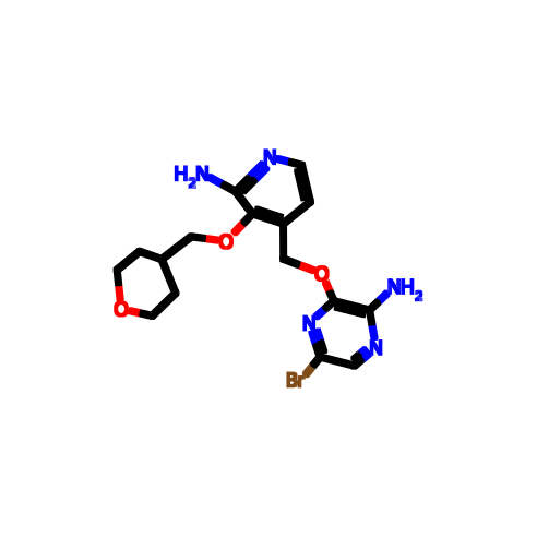 Nc1ncc(Br)nc1OCc1ccnc(N)c1OCC1CCOCC1